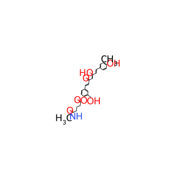 CNC(=O)CCCC(=O)Oc1ccc(/C=C/C(=O)/C=C(O)/C=C/c2ccc(O)c(C)c2)cc1CO